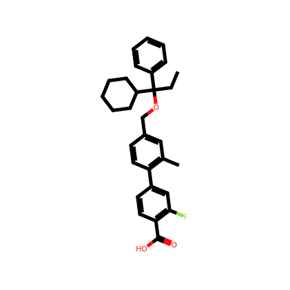 CCC(OCc1ccc(-c2ccc(C(=O)O)c(F)c2)c(C)c1)(c1ccccc1)C1CCCCC1